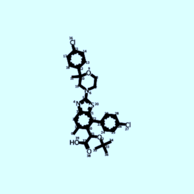 Cc1cc2nc(N3CCOC(C)(c4ccc(Cl)cc4)C3)sc2c(-c2ccc(Cl)cc2)c1C(OC(C)(C)C)C(=O)O